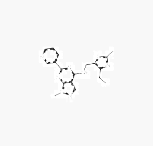 CCc1nc(C)sc1CNc1nc(-c2cccnc2)nc2c1cnn2C